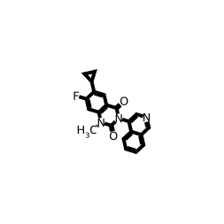 Cn1c(=O)n(-c2cncc3ccccc23)c(=O)c2cc(C3CC3)c(F)cc21